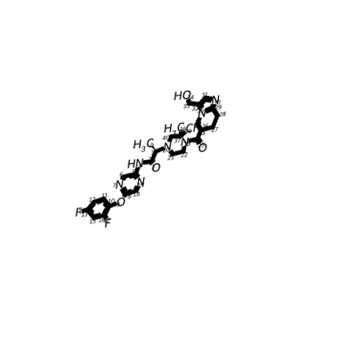 C[C@@H](C(=O)Nc1cnc(Oc2ccc(F)cc2F)cn1)N1CCN(C(=O)C2CCc3ncc(CO)n3C2)C(C)(C)C1